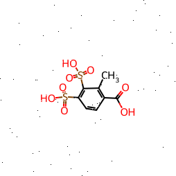 Cc1c(C(=O)O)ccc(S(=O)(=O)O)c1S(=O)(=O)O